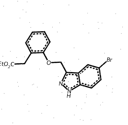 CCOC(=O)Cc1ccccc1OCc1n[nH]c2ccc(Br)cc12